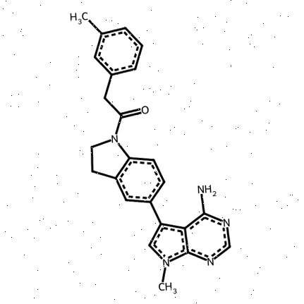 Cc1cccc(CC(=O)N2CCc3cc(-c4cn(C)c5ncnc(N)c45)ccc32)c1